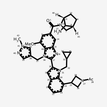 COc1cc(C(=O)N2C[C@H]3CC[C@@H]2C3N)cc2nc(-c3cc4cccc(C5CN(C(C)=O)C5)c4n3CC3CC3)n(Cc3cnn(C)c3)c12